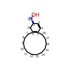 ON=C1C=CC2=C(CCCCCCCCCCCC2)C1